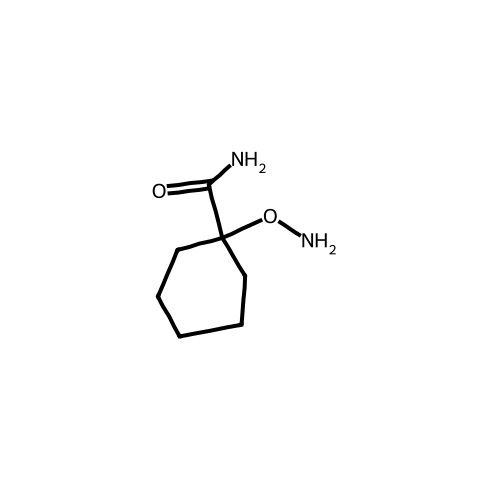 NOC1(C(N)=O)CCCCC1